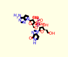 Nc1ncnc2c1ccn2[C@@H]1O[C@H](COP(=O)(O)[C@@H]2[C@H](O)[C@@H](CCO)O[C@H]2n2cnc3c(=O)[nH]ccc32)[C@@H](O[PH](=O)O)[C@H]1O